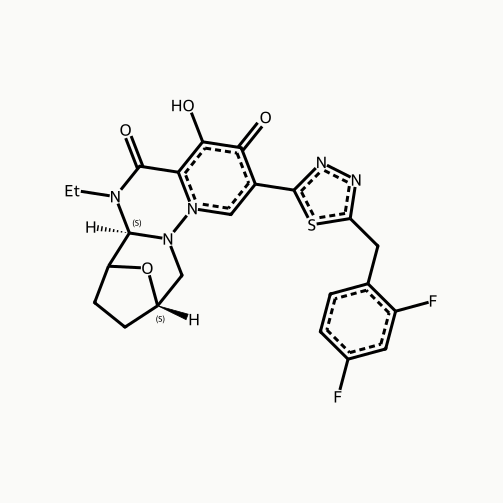 CCN1C(=O)c2c(O)c(=O)c(-c3nnc(Cc4ccc(F)cc4F)s3)cn2N2C[C@@H]3CCC(O3)[C@@H]12